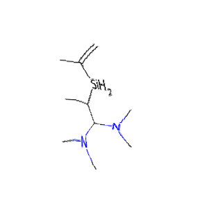 C=C(C)[SiH2]C(C)C(N(C)C)N(C)C